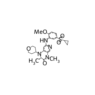 COc1ccc(S(=O)(=O)C2CC2)cc1Nc1cc2c(cn1)N(C)C(=O)[C@@H](C)N2C1CCOCC1